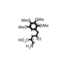 CCC(Cc1cc(OC)c(OC)c(OC)c1OC)CC(CN)C(=O)O